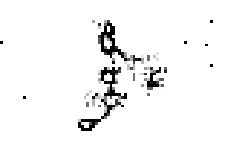 CC(C)NCc1c(Oc2cccc(-c3nnc(Cc4ccccc4)[nH]3)c2)ccc2[nH]ccc12.O=C(O)C(F)(F)F